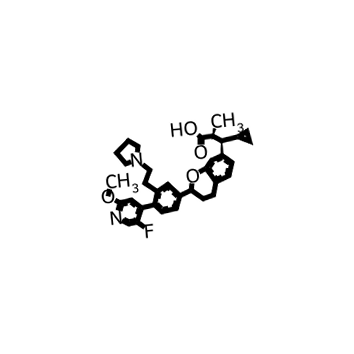 COc1cc(-c2ccc(C3CCc4ccc([C@H](C5CC5)[C@H](C)C(=O)O)cc4O3)cc2CCN2CCCC2)c(F)cn1